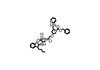 CCCCC1C(NC(CNC(=O)COC2CC(CNc3ccccn3)N(C(=O)OCc3ccccc3)C2)C(=O)O)=Nc2ccccc21